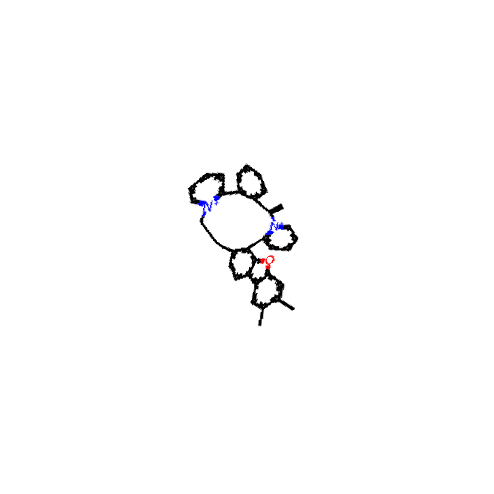 C=C1c2ccccc2-c2cccc[n+]2CCc2ccc3c(oc4cc(C)c(C)cc43)c2-c2cccc[n+]21